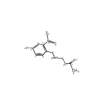 CC(=O)OCNCc1ccc(F)cc1[N+](=O)[O-]